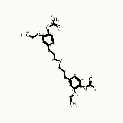 CCOc1cc(CCCOCCCc2ccc(OC(C)=O)c(OCC)c2)ccc1OC(C)=O